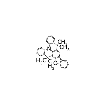 CC1(C)c2ccccc2N2c3ccccc3C(C)(C)c3c2c1cc1c3oc2ccccc21